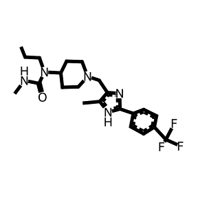 CCCN(C(=O)NC)C1CCN(Cc2nc(-c3ccc(C(F)(F)F)cc3)[nH]c2C)CC1